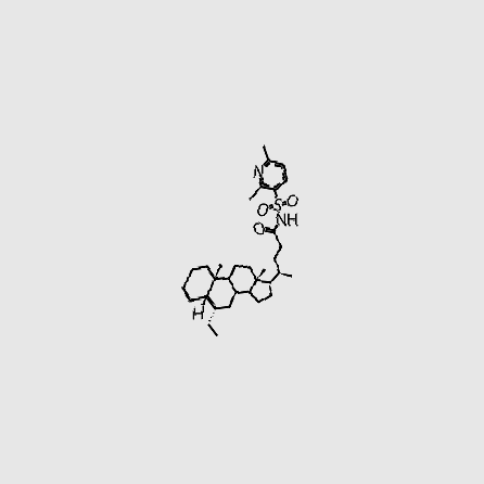 CC[C@H]1CC2C3CC[C@H]([C@H](C)CCC(=O)NS(=O)(=O)c4ccc(C)nc4C)[C@@]3(C)CCC2[C@@]2(C)CCCC[C@@H]12